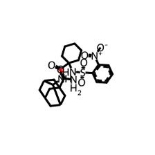 NC(=O)C12CC3CC(C1)C(NC(=O)C1(NS(=O)(=O)c4ccccc4[N+](=O)[O-])CCCCC1)C(C3)C2